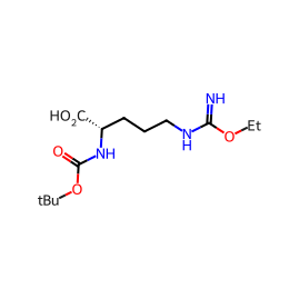 CCOC(=N)NCCC[C@H](NC(=O)OC(C)(C)C)C(=O)O